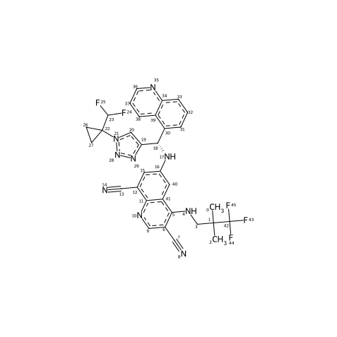 CC(C)(CNc1c(C#N)cnc2c(C#N)cc(N[C@H](c3cn(C4(C(F)F)CC4)nn3)c3cccc4ncccc34)cc12)C(F)(F)F